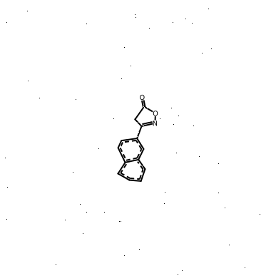 O=C1CC(c2ccc3ccccc3c2)=NO1